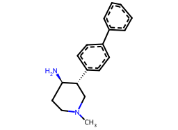 CN1CC[C@@H](N)[C@H](c2ccc(-c3ccccc3)cc2)C1